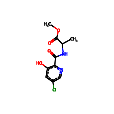 COC(=O)C(C)NC(=O)c1ncc(Cl)cc1O